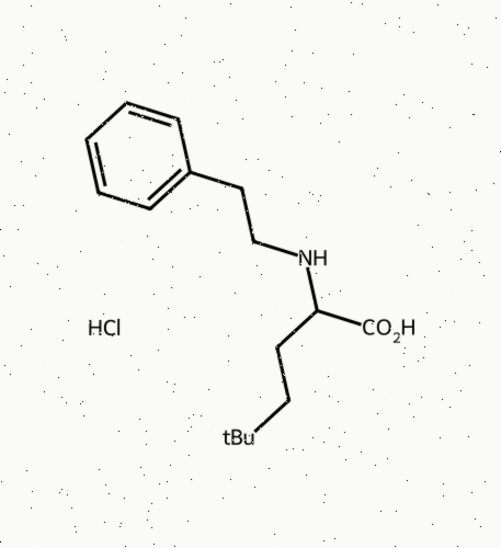 CC(C)(C)CCC(NCCc1ccccc1)C(=O)O.Cl